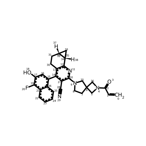 C=CC(=O)N1CC2(CCN(c3nc4c(c(-c5cc(O)c(F)c6ccccc56)c3C#N)CC[C@@H]3C[C@H]43)C2)C1